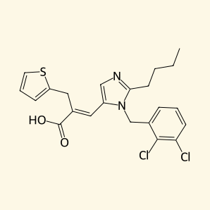 CCCCc1ncc(/C=C(\Cc2cccs2)C(=O)O)n1Cc1cccc(Cl)c1Cl